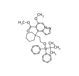 COC(=O)c1c(OC)cn2nccc2c1C1(CCO[Si](c2ccccc2)(c2ccccc2)C(C)(C)C)CCCCC1